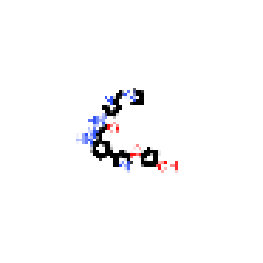 O=C(Nc1ccc(CN2CCCC2)nc1)c1n[nH]c2ccc(-c3cncc(Oc4ccc(O)cc4)c3)cc12